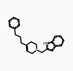 C1=C(CCCc2ccccc2)CCN(Cc2cc3ccccc3[nH]2)C1